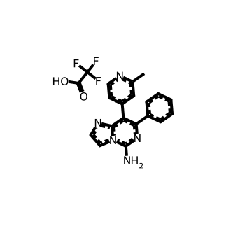 Cc1cc(-c2c(-c3ccccc3)nc(N)n3ccnc23)ccn1.O=C(O)C(F)(F)F